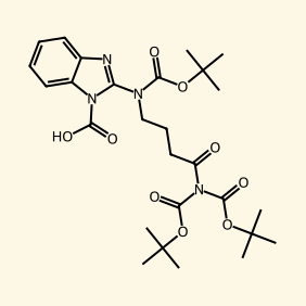 CC(C)(C)OC(=O)N(C(=O)CCCN(C(=O)OC(C)(C)C)c1nc2ccccc2n1C(=O)O)C(=O)OC(C)(C)C